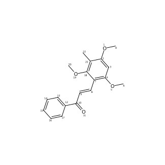 COc1cc(OC)c(C=CC(=O)c2ccccc2)c(OC)c1C